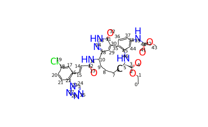 CCOC(=O)[C@H]1CCCCC(NC(=O)C=Cc2cc(Cl)ccc2-n2cnnn2)c2cc(c(=O)[nH]n2)-c2ccc(NC(=O)OC)cc2N1